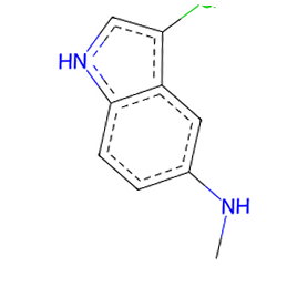 CNc1ccc2[nH]cc(Cl)c2c1